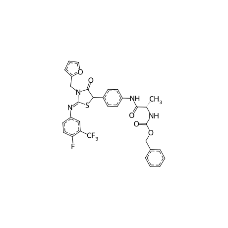 C[C@H](NC(=O)OCc1ccccc1)C(=O)Nc1ccc(C2S/C(=N\c3ccc(F)c(C(F)(F)F)c3)N(Cc3ccco3)C2=O)cc1